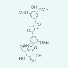 COc1cc(C2OCC3C(c4cc(OC)c(OC5O[C@H](CO)[C@@H](O)[C@H](O)[C@H]5O)c(OC)c4)OCC23)cc(OC)c1O